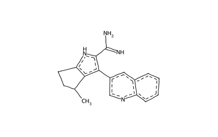 CC1CCc2[nH]c(C(=N)N)c(-c3cnc4ccccc4c3)c21